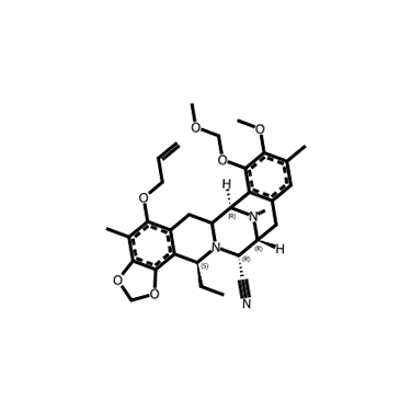 C=CCOc1c(C)c2c(c3c1CC1[C@H]4c5c(cc(C)c(OC)c5OCOC)C[C@H]([C@H](C#N)N1[C@H]3CC)N4C)OCO2